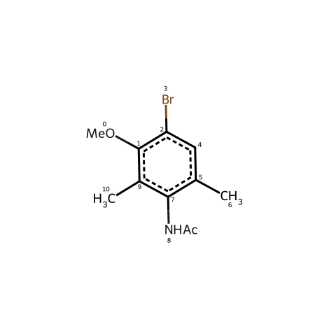 COc1c(Br)cc(C)c(NC(C)=O)c1C